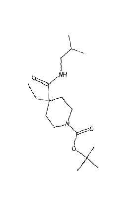 CCC1(C(=O)NCC(C)C)CCN(C(=O)OC(C)(C)C)CC1